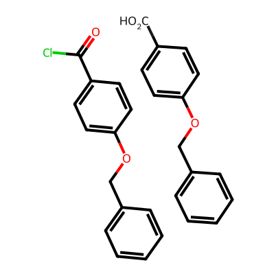 O=C(Cl)c1ccc(OCc2ccccc2)cc1.O=C(O)c1ccc(OCc2ccccc2)cc1